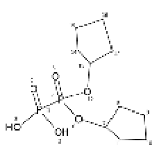 O=P(O)(O)P(=O)(OC1CCCC1)OC1CCCC1